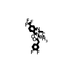 CCc1nc2cc(C(F)(F)F)ccc2c(=O)n1NC(=O)Cc1ccc(F)c(F)c1